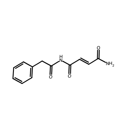 NC(=O)/C=C/C(=O)NC(=O)Cc1ccccc1